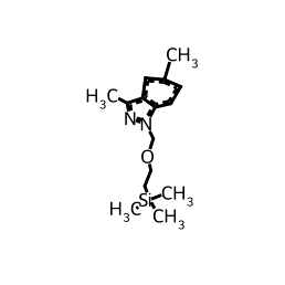 Cc1ccc2c(c1)c(C)nn2COCC[Si](C)(C)C